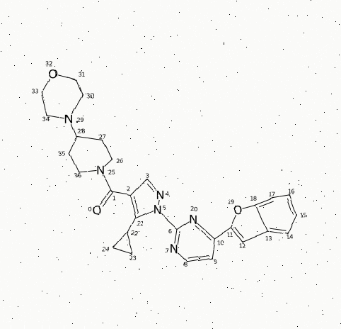 O=C(c1cnn(-c2nccc(-c3cc4ccccc4o3)n2)c1C1CC1)N1CCC(N2CCOCC2)CC1